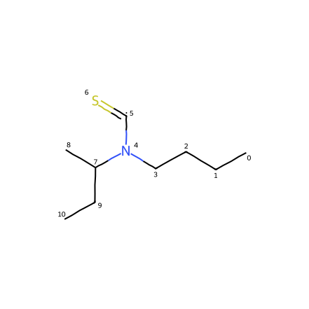 CCCCN([C]=S)C(C)CC